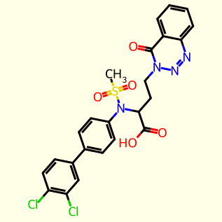 CS(=O)(=O)N(c1ccc(-c2ccc(Cl)c(Cl)c2)cc1)C(CCn1nnc2ccccc2c1=O)C(=O)O